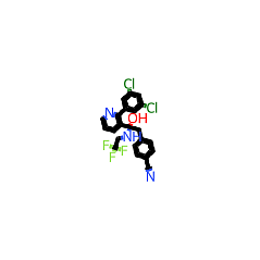 N#Cc1ccc(CC(O)(NCC(F)(F)F)c2cccnc2-c2cc(Cl)cc(Cl)c2)cc1